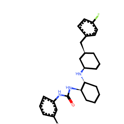 CC(=O)c1cccc(NC(=O)N[C@@H]2CCCC[C@H]2N[C@@H]2CCC[C@H](Cc3ccc(F)cc3)C2)c1